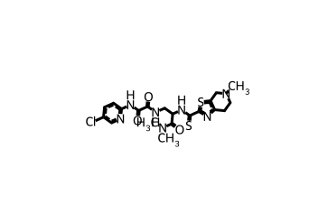 CN1CCc2nc(C(=S)NC(CNC(=O)C(=O)Nc3ccc(Cl)cn3)C(=O)N(C)C)sc2C1